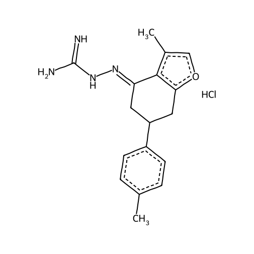 Cc1ccc(C2CC(=NNC(=N)N)c3c(C)coc3C2)cc1.Cl